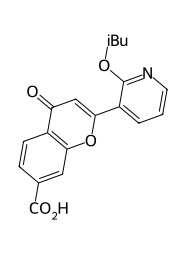 CCC(C)Oc1ncccc1-c1cc(=O)c2ccc(C(=O)O)cc2o1